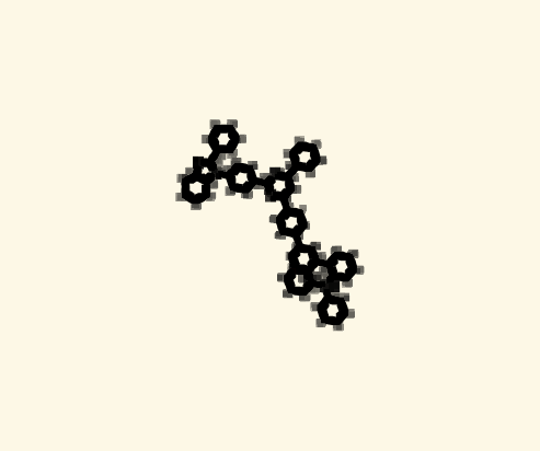 Cc1ccc(-c2ccc(-c3cc(-c4ccccc4)nc(-c4ccc(-n5c(-c6ccccc6)nc6ccccc65)cc4)n3)cc2)cc1-c1ccccc1[SiH](c1ccccc1)c1ccccc1